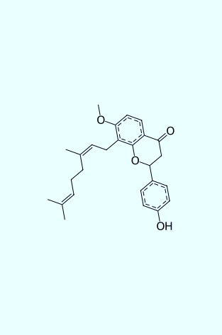 COc1ccc2c(c1CC=C(C)CCC=C(C)C)OC(c1ccc(O)cc1)CC2=O